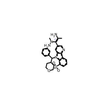 C/C(N)=C(\c1cnc2c3cccc(S(C)(=O)=O)c3n(C(c3ccccc3)C3CCOCC3)c2c1)N(C)N